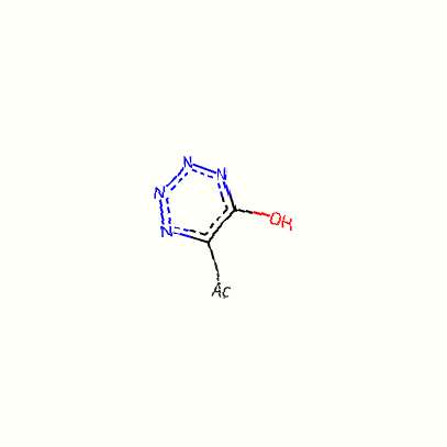 CC(=O)c1nnnnc1O